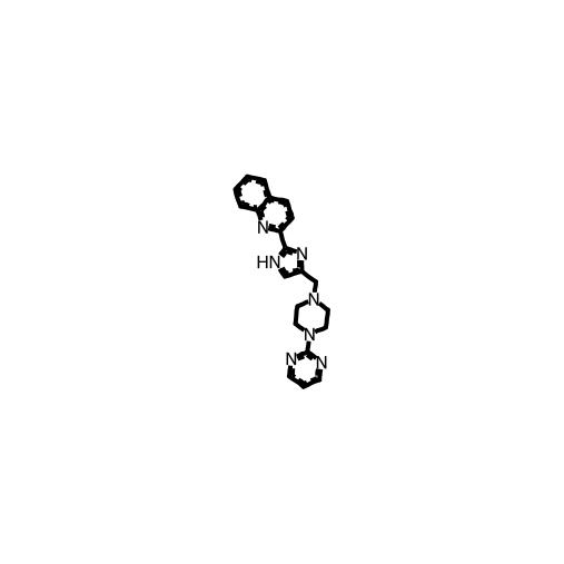 c1cnc(N2CCN(Cc3c[nH]c(-c4ccc5ccccc5n4)n3)CC2)nc1